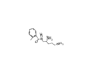 Cc1ccccc1C(=O)NC[C@@H](N)CCCN